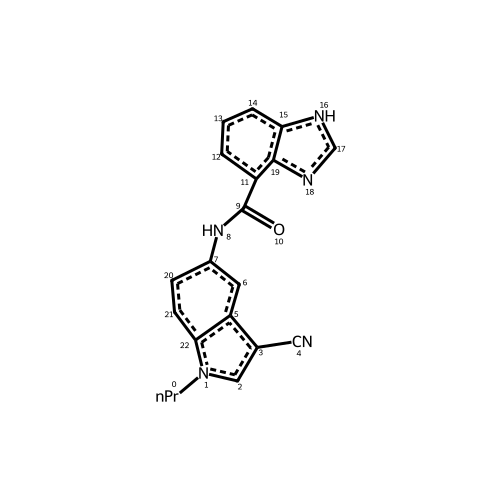 CCCn1cc(C#N)c2cc(NC(=O)c3cccc4[nH]cnc34)ccc21